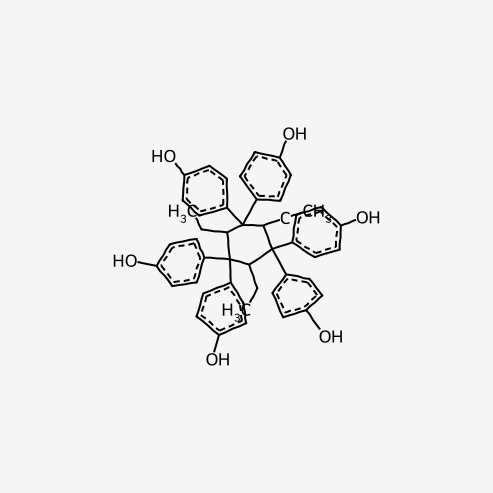 CCC1C(c2ccc(O)cc2)(c2ccc(O)cc2)C(CC)C(c2ccc(O)cc2)(c2ccc(O)cc2)C(CC)C1(c1ccc(O)cc1)c1ccc(O)cc1